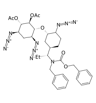 CC[C@H]([C@@H]1CCC(N=[N+]=[N-])[C@@H](O[C@H]2[C@H](OC(C)=O)[C@@H](OC(C)=O)[C@H](N=[N+]=[N-])C[C@@H]2N=[N+]=[N-])C1)N(Cc1ccccc1)C(=O)OCc1ccccc1